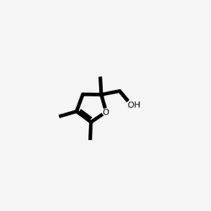 CC1=C(C)OC(C)(CO)C1